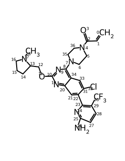 C=CC(=O)N1CCN(c2nc(OCC3CCCN3C)nc3cc(-c4nc(N)ccc4C(F)(F)F)c(Cl)cc23)CC1